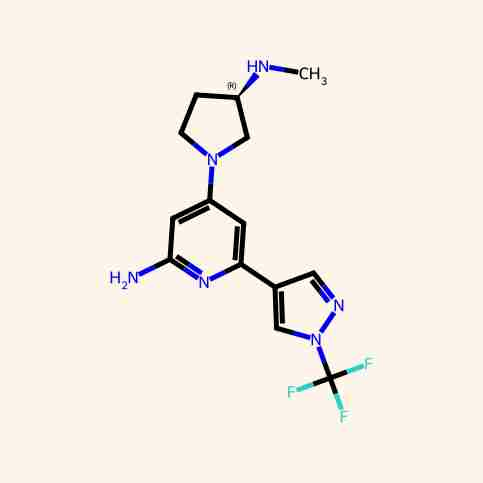 CN[C@@H]1CCN(c2cc(N)nc(-c3cnn(C(F)(F)F)c3)c2)C1